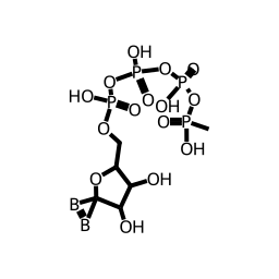 CP(=O)(O)OP(=O)(O)OP(=O)(O)OP(=O)(O)OCC1OC2(B=B2)C(O)C1O